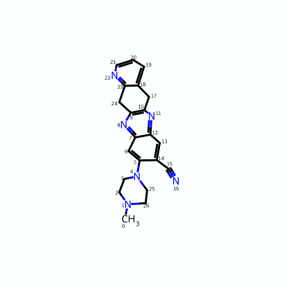 CN1CCN(c2cc3nc4c(nc3cc2C#N)Cc2cccnc2C4)CC1